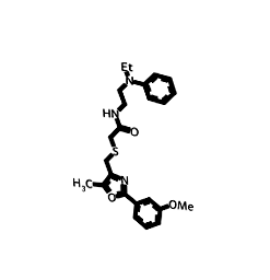 CCN(CCNC(=O)CSCc1nc(-c2cccc(OC)c2)oc1C)c1ccccc1